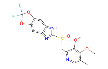 COc1c(C)cnc(C[S+]([O-])c2nc3cc4c(cc3[nH]2)OC(F)(F)O4)c1OC